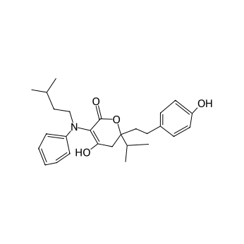 CC(C)CCN(C1=C(O)CC(CCc2ccc(O)cc2)(C(C)C)OC1=O)c1ccccc1